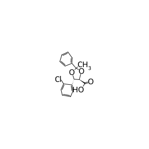 CC1(c2ccccc2)O[C@@H](C(=O)O)[C@H](c2ccccc2Cl)O1